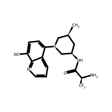 C[C@H]1C[C@@H](NC(=O)[C@@H](N)C(F)(F)F)CN(c2ccc(C#N)c3ncccc23)C1